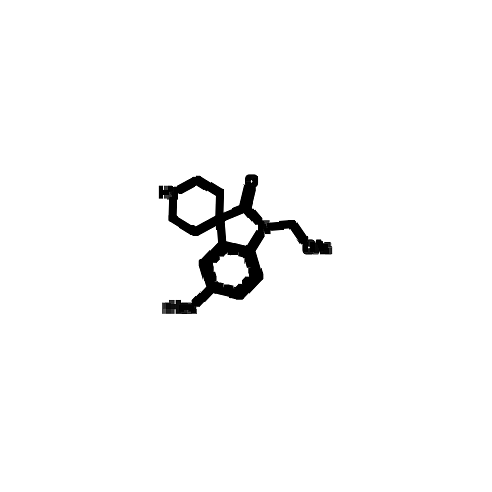 CCCCCCc1ccc2c(c1)C1(CCNCC1)C(=O)N2COC(C)=O